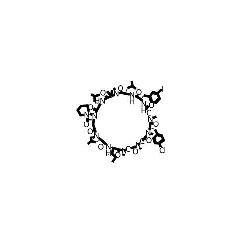 CC[C@H](C)[C@@H]1NC(=O)[C@H](CC(C)C)N(C)C(=O)C[C@@H](C(=O)N2CCCCC2)N(C)C(=O)[C@H](CC(C)C)NC(=O)C(C)(C)N(C)C(=O)[C@H](CC(C)C)NC(=O)[C@H](Cc2cccc(I)c2)NC(=O)CN(C)C(=O)[C@H](Cc2ccc(Cl)cc2)N(C)C(=O)CN(C)C(=O)CN(C)C1=O